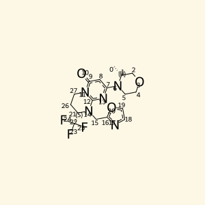 C[C@@H]1COCCN1c1cc(=O)n2c(n1)N(Cc1ncco1)[C@H](C(F)(F)F)CC2